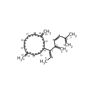 C=C(C)/C=C\C(=C)/C(=C/C)c1ccc(=C)ccccc(=C)c1